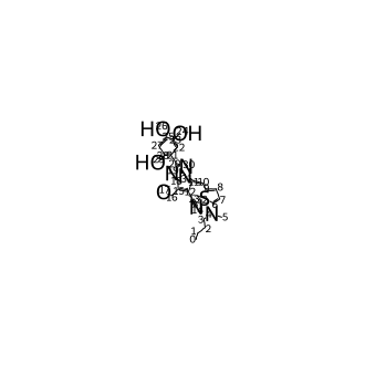 CCCCN(C)c1ccc(/C=c2\c(C#N)c(C=O)c3nc(-c4cc(O)c(O)cc4O)nn23)s1